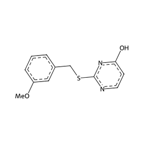 COc1cccc(CSc2nccc(O)n2)c1